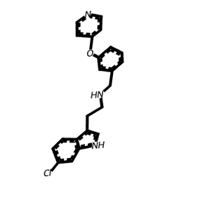 Clc1ccc2c(CCNCc3cccc(Oc4ccncc4)c3)c[nH]c2c1